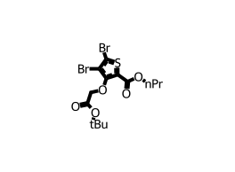 CCCOC(=O)c1sc(Br)c(Br)c1OCC(=O)OC(C)(C)C